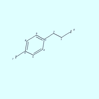 ICCc1ccc(I)cc1